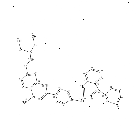 NCc1ccc(CNC(CO)CO)cc1NC(=O)c1ccc(Nc2nc(-c3ccccc3)c3ccccc3n2)cc1